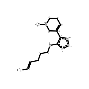 C/C=C/CCCOc1nsnc1C1=CCCN(C)C1